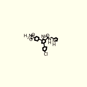 Nc1c(C(=O)NCc2ccc[nH]2)cc(-c2ccc(Cl)cc2)cc1-c1ccc(S(N)(=O)=O)cc1